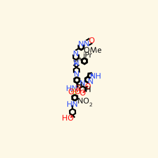 COc1cc(CN2CC[C@H](N3CC4(CCN(c5ccc(C(=O)NS(=O)(=O)c6ccc(NCC7CCC(C)(O)CC7)c([N+](=O)[O-])c6)c(N6c7cc8cc[nH]c8nc7O[C@H]7COCC[C@@H]76)c5)CC4)C3)[C@H](c3ccccc3C(C)C)C2)cnc1N1CCOCC1